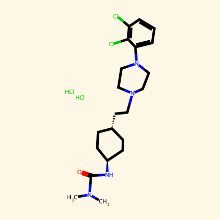 CN(C)C(=O)N[C@H]1CC[C@H](CCN2CCN(c3cccc(Cl)c3Cl)CC2)CC1.Cl.Cl